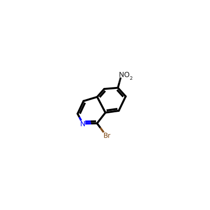 O=[N+]([O-])c1ccc2c(Br)nccc2c1